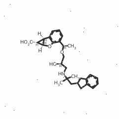 C[C@@H](OC[C@H](O)CNC(C)(C)CC1Cc2ccccc2C1)c1cccc2c1O[C@H]1[C@H](C(=O)O)[C@@H]21